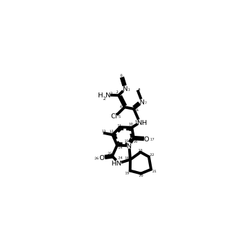 C=N/C(N)=C(Cl)\C(=N/C)Nc1cc(C)c2n(c1=O)C1(CCCCC1)NC2=O